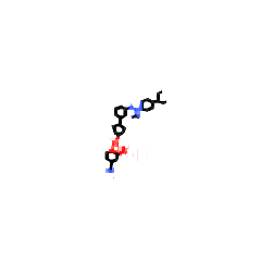 CCC(CC)c1ccc(N(Cc2cccc(-c3ccc(COc4ccc(C#N)cc4C(=O)O)cc3)c2)C(C)C)cc1